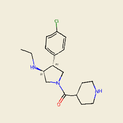 CCN[C@@H]1CN(C(=O)C2CCNCC2)C[C@H]1c1ccc(Cl)cc1